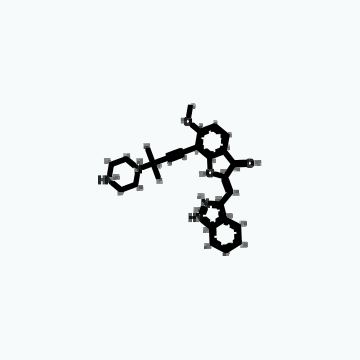 COc1ccc2c(c1C#CC(C)(C)N1CCNCC1)OC(=Cc1n[nH]c3ccccc13)C2=O